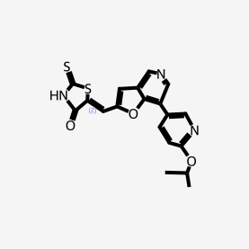 CC(C)Oc1ccc(-c2cncc3cc(/C=C4\SC(=S)NC4=O)oc23)cn1